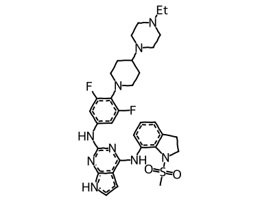 CCN1CCN(C2CCN(c3c(F)cc(Nc4nc(Nc5cccc6c5N(S(C)(=O)=O)CC6)c5cc[nH]c5n4)cc3F)CC2)CC1